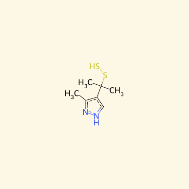 Cc1n[nH]cc1C(C)(C)SS